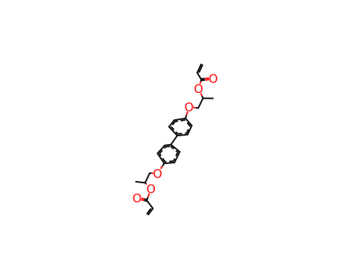 C=CC(=O)OC(C)COc1ccc(-c2ccc(OCC(C)OC(=O)C=C)cc2)cc1